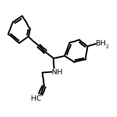 Bc1ccc(C(C#Cc2ccccc2)NCC#C)cc1